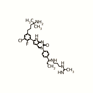 C=C[C@H](NCCCNC(C)=N)c1ccc(-n2cc3cc(-c4cc(CCCC(C)(C)N)cc(Cl)c4F)[nH]c3nc2=O)cc1